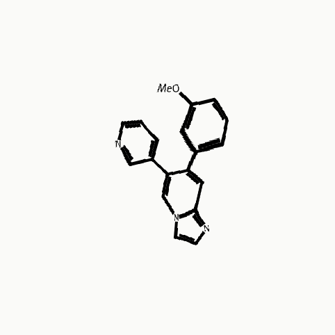 COc1cccc(-c2cc3nccn3cc2-c2cccnc2)c1